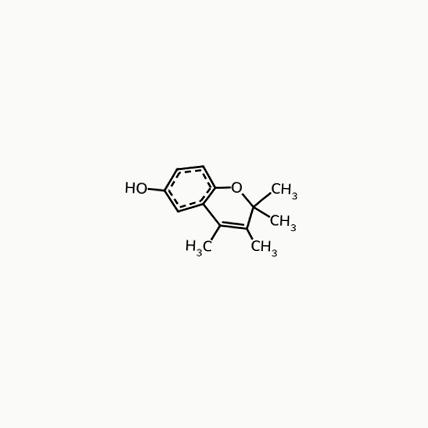 CC1=C(C)C(C)(C)Oc2ccc(O)cc21